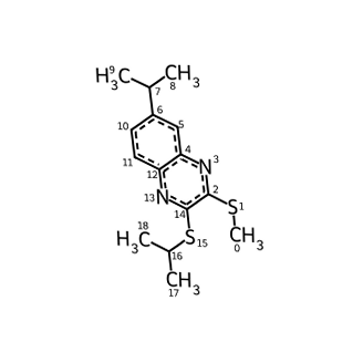 CSc1nc2cc(C(C)C)ccc2nc1SC(C)C